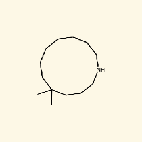 CC1(C)CCCCCCCNCCC1